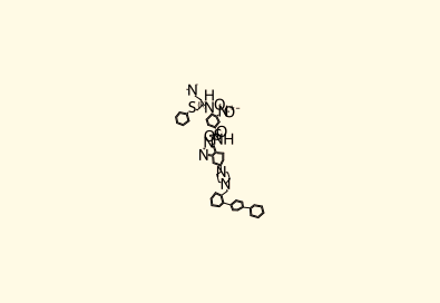 CN(C)CC[C@H](CSc1ccccc1)Nc1ccc(S(=O)(=O)Nc2ncnc3cc(N4CCN(Cc5ccccc5-c5ccc(-c6ccccc6)cc5)CC4)ccc23)cc1[N+](=O)[O-]